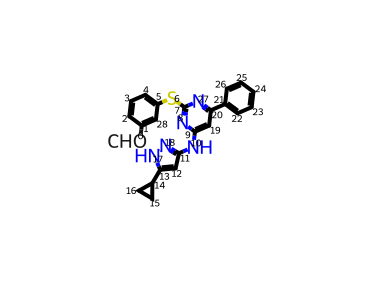 O=Cc1cccc(Sc2nc(Nc3cc(C4CC4)[nH]n3)cc(-c3ccccc3)n2)c1